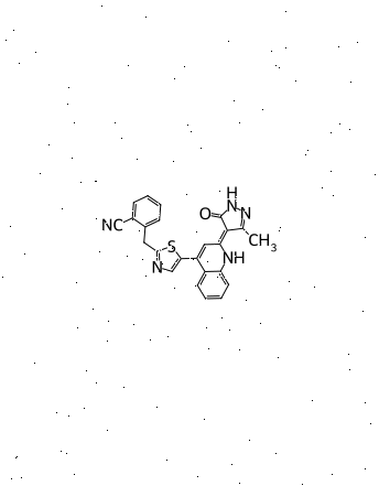 CC1=NNC(=O)C1=C1C=C(c2cnc(Cc3ccccc3C#N)s2)c2ccccc2N1